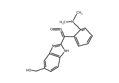 CN(C)c1ccccc1C(=S=O)c1nc2cc(CO)ccc2[nH]1